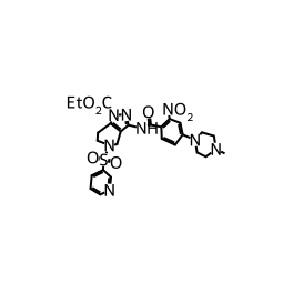 CCOC(=O)n1nc(NC(=O)c2ccc(N3CCN(C)CC3)cc2[N+](=O)[O-])c2c1CCN(S(=O)(=O)c1cccnc1)C2